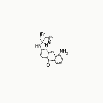 CC(C)CC1(CC(C)C)NC2=CC=C3C(=O)c4cccc(N)c4C=C3C2[N+]1=O